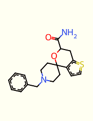 NC(=O)C1Cc2sccc2C2(CCN(Cc3ccccc3)CC2)O1